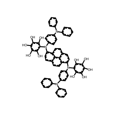 Oc1c(O)c(O)c(N(c2ccc(N(c3ccccc3)c3ccccc3)cc2)c2ccc3ccc4c(N(c5ccc(N(c6ccccc6)c6ccccc6)cc5)c5c(O)c(O)c(O)c(O)c5O)ccc5ccc2c3c54)c(O)c1O